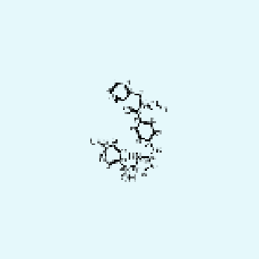 CN(Cc1cccnc1)C(=O)c1ccc(C[C@@H]2CC[C@H]([C@H](O)c3ccc(Cl)nc3)N2)cc1